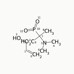 C=CCO.CN(C)C(C)(C(=O)O)P(=O)=O